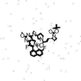 COc1nc(N(C)C2CCN(C(=O)/C=C/[C@@H]3CCN3C(=O)OC(C)(C)C)C2)c2cnc(-c3cccc4ccc(F)c(F)c34)c(F)c2n1